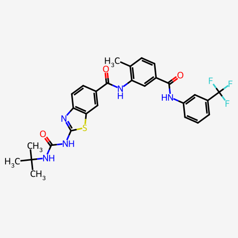 Cc1ccc(C(=O)Nc2cccc(C(F)(F)F)c2)cc1NC(=O)c1ccc2nc(NC(=O)NC(C)(C)C)sc2c1